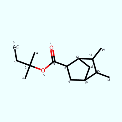 CC(=O)CC(C)(C)OC(=O)C1CC2CC1C(C)C2C